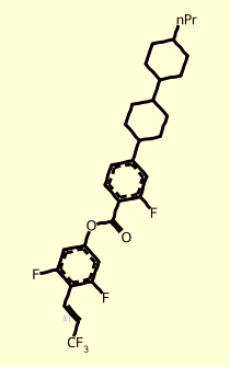 CCCC1CCC(C2CCC(c3ccc(C(=O)Oc4cc(F)c(/C=C/C(F)(F)F)c(F)c4)c(F)c3)CC2)CC1